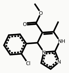 COC(=O)C1=C(C)Nc2nccn2C1c1ccccc1Cl